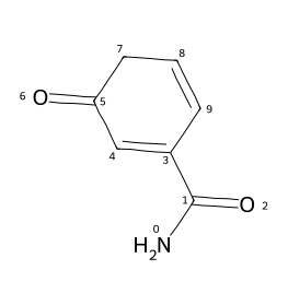 NC(=O)C1=CC(=O)CC=C1